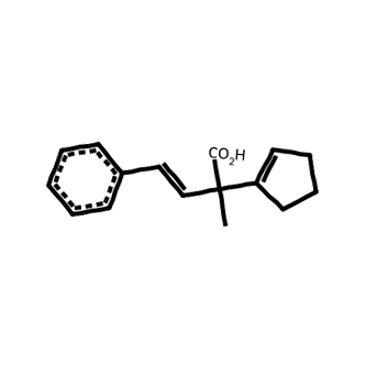 CC(C=Cc1ccccc1)(C(=O)O)C1=CCCC1